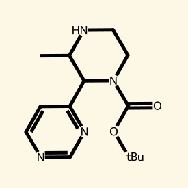 CC1NCCN(C(=O)OC(C)(C)C)C1c1ccncn1